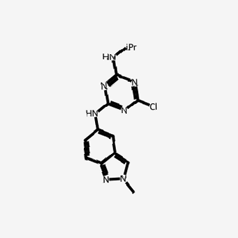 CC(C)Nc1nc(Cl)nc(Nc2ccc3nn(C)cc3c2)n1